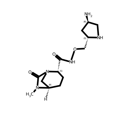 CN1C(=O)N2C[C@H]1CC[C@H]2C(=O)NOC[C@@H]1C[C@@H](N)CN1